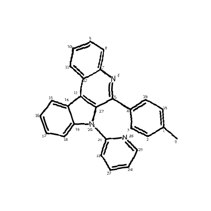 Cc1ccc(-c2nc3ccccc3c3c4ccccc4n(-c4ccccn4)c23)cc1